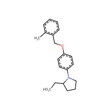 Cc1ccccc1COc1ccc(N2CCCC2CC(=O)O)cc1